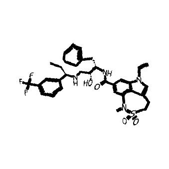 CC[C@@H](NC[C@@H](O)[C@H](Cc1ccccc1)NC(=O)c1cc2c3c(cn(CC)c3c1)CCS(=O)(=O)N2C)c1cccc(C(F)(F)F)c1